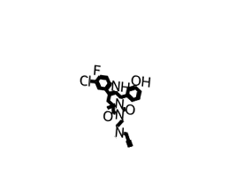 C#CCN(C)CCN1C(=O)N2C(c3cccc(O)c3)c3[nH]c4cc(F)c(Cl)cc4c3CC2(C)C1=O